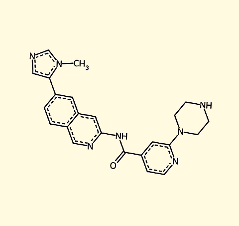 Cn1cncc1-c1ccc2cnc(NC(=O)c3ccnc(N4CCNCC4)c3)cc2c1